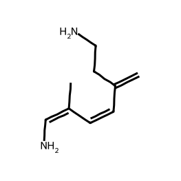 C=C(/C=C\C(C)=C/N)CCN